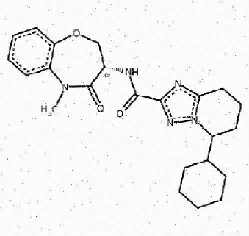 CN1C(=O)[C@@H](NC(=O)c2nc3n(n2)C(C2CCCCC2)CCC3)COc2ccccc21